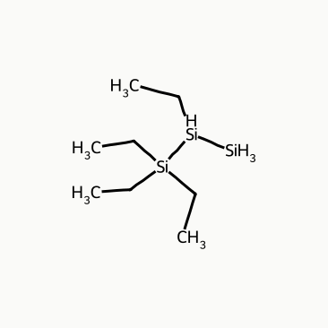 CC[SiH]([SiH3])[Si](CC)(CC)CC